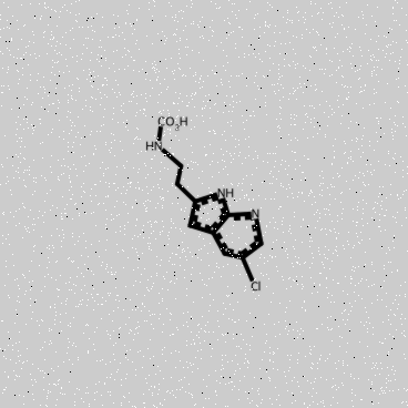 O=C(O)NCCc1cc2cc(Cl)cnc2[nH]1